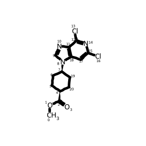 COC(=O)[C@H]1CC[C@@H](n2cnc3c(Cl)nc(Cl)cc32)CC1